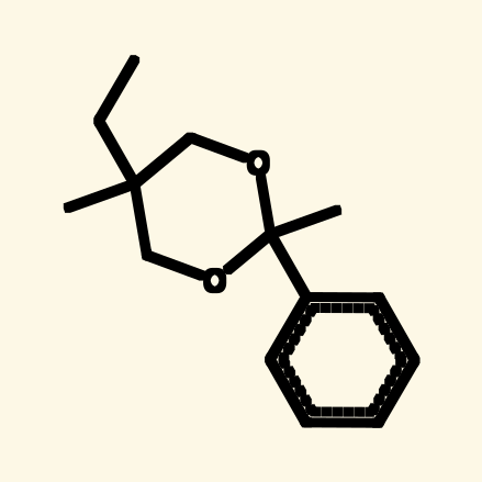 CCC1(C)COC(C)(c2ccccc2)OC1